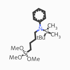 CO[Si](CCCCN(c1ccccc1)[Si](C)(C)C(C)(C)C)(OC)OC